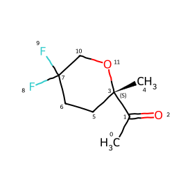 CC(=O)[C@]1(C)CCC(F)(F)CO1